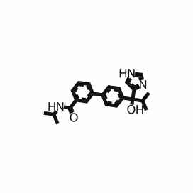 CC(C)NC(=O)c1cccc(-c2ccc(C(O)(c3c[nH]cn3)C(C)C)cc2)c1